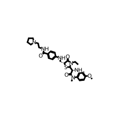 CCN1C(=O)[C@@H](CNc2ccc(C(=O)NCCN3CCCC3)cc2)SC1[C@H](N)C(=O)N(C)c1ccc(OC)cc1